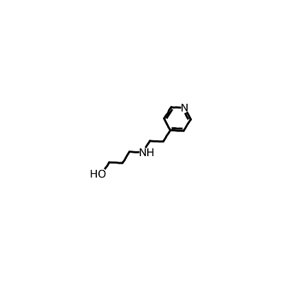 OCCCNCCc1ccncc1